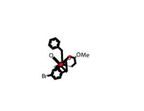 CO[C@H]1CC[C@]2(CC1)Cc1ccc(Br)cc1C21NC(=O)N(Cc2ccccc2)C1=O